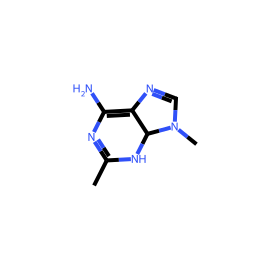 CC1=NC(N)=C2N=CN(C)C2N1